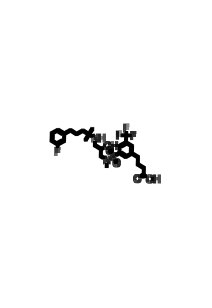 CN(CC(O)CNC(C)(C)CCCc1cccc(F)c1)S(=O)(=O)c1cc(CCCC(=O)O)cc(C(F)(F)F)c1